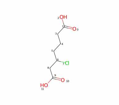 O=C(O)CCCC(Cl)CC(=O)O